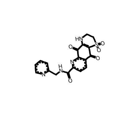 O=C(NCc1ccccn1)c1ccc2c(n1)C(=O)C1=C(C2=O)S(=O)(=O)CCN1